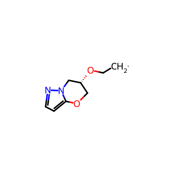 [CH2]CO[C@@H]1COc2ccnn2C1